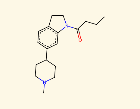 CCCC(=O)N1CCc2ccc(C3CCN(C)CC3)cc21